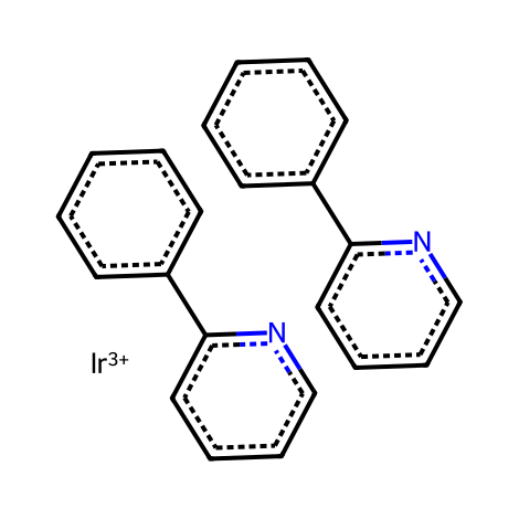 [Ir+3].c1ccc(-c2ccccn2)cc1.c1ccc(-c2ccccn2)cc1